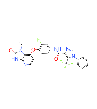 CCn1c(=O)[nH]c2nccc(Oc3ccc(NC(=O)c4ncn(-c5ccccc5)c4C(F)(F)F)cc3F)c21